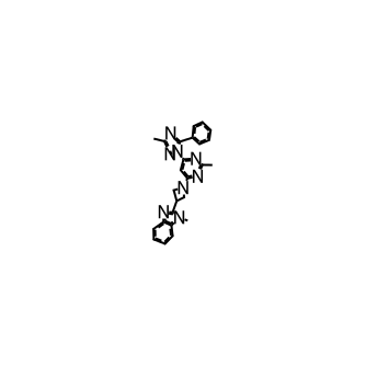 Cc1nc(N2CC(c3nc4ccccc4n3C)C2)cc(-n2nc(C)nc2-c2ccccc2)n1